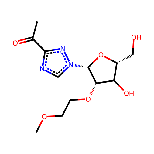 COCCO[C@H]1C(O)[C@@H](CO)O[C@H]1n1cnc(C(C)=O)n1